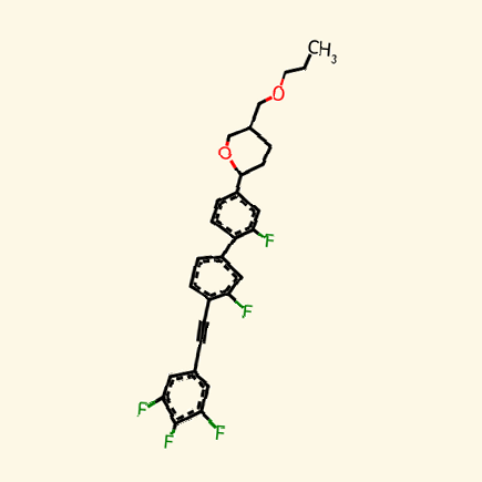 CCCOCC1CCC(c2ccc(-c3ccc(C#Cc4cc(F)c(F)c(F)c4)c(F)c3)c(F)c2)OC1